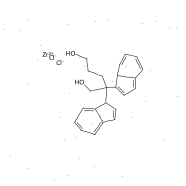 OCCCC(CO)(C1=CC=C2C=CC=CC21)C1C=Cc2ccccc21.[Cl-].[Cl-].[Zr+2]